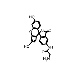 NCC(=O)Nc1ccc2c(c1)C(=O)OC21c2ccc(O)cc2Oc2cc(O)ccc21